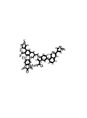 CCc1cc2c(cc1N1CC(Cn3cc(C(=O)NC)c4cc(-c5cccc6cc(-c7cnn(C)c7)ncc56)ccc43)Cc3cc(-c4cnn(C)c4)c(C(F)F)cc31)n(C)c(=O)n2C